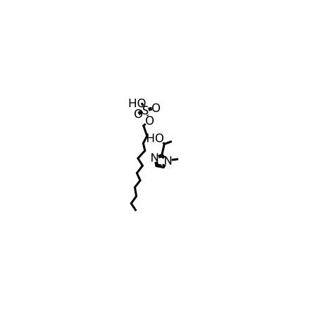 CC(O)c1nccn1C.CCCCCCCCCCCCOS(=O)(=O)O